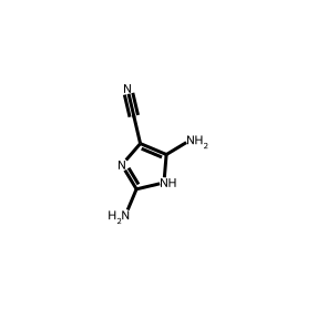 N#Cc1nc(N)[nH]c1N